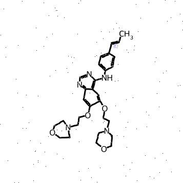 C/C=C/c1ccc(Nc2ncnc3cc(OCCN4CCOCC4)c(OCCN4CCOCC4)cc23)cc1